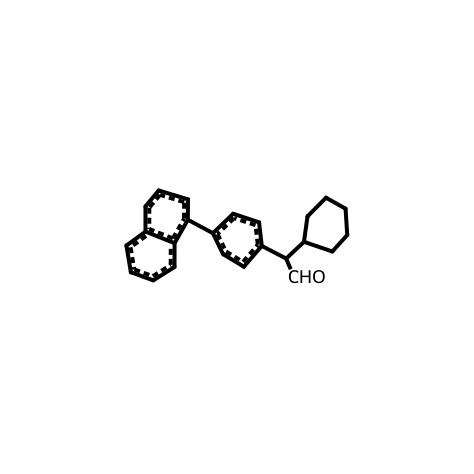 O=CC(c1ccc(-c2cccc3ccccc23)cc1)C1CCCCC1